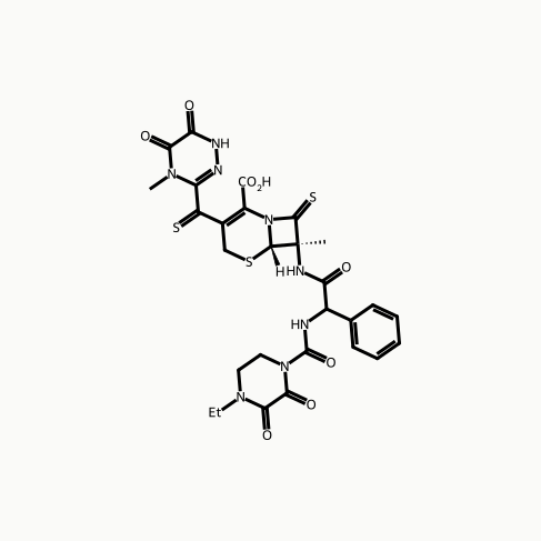 CCN1CCN(C(=O)NC(C(=O)N[C@]2(C)C(=S)N3C(C(=O)O)=C(C(=S)c4n[nH]c(=O)c(=O)n4C)CS[C@H]32)c2ccccc2)C(=O)C1=O